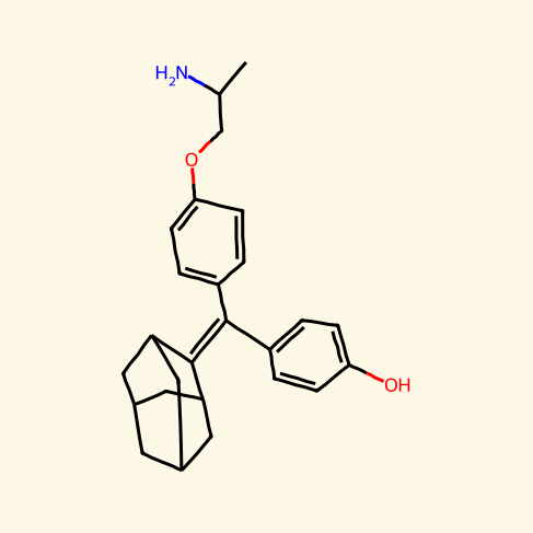 CC(N)COc1ccc(C(=C2C3CC4CC(C3)CC2C4)c2ccc(O)cc2)cc1